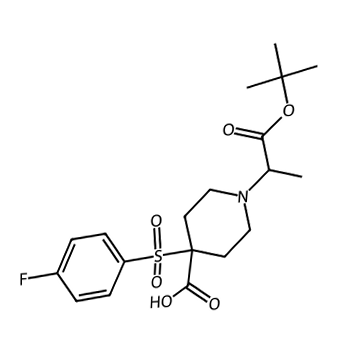 CC(C(=O)OC(C)(C)C)N1CCC(C(=O)O)(S(=O)(=O)c2ccc(F)cc2)CC1